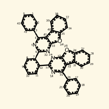 c1ccc(-c2nc(-c3ccccc3-c3nc(-c4ccccc4)c4c(n3)oc3ccccc34)nc3oc4ccccc4c23)cc1